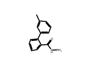 Cc1cccc(-c2ccccc2C(=O)NN)c1